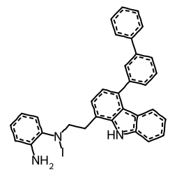 Nc1ccccc1N(I)CCc1ccc(-c2cccc(-c3ccccc3)c2)c2c1[nH]c1ccccc12